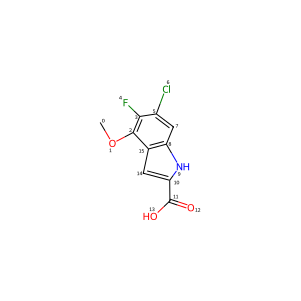 COc1c(F)c(Cl)cc2[nH]c(C(=O)O)cc12